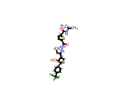 CC/C(=N\NC(=O)c1ccc(C(=O)NC(C)C)s1)c1csc(-c2ccc(C(F)(F)F)cc2)c1O